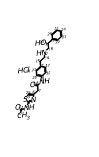 CC(=O)Nc1nc(CC(=O)Nc2ccc(CCNC[C@H](O)c3ccccc3)cc2)cs1.Cl